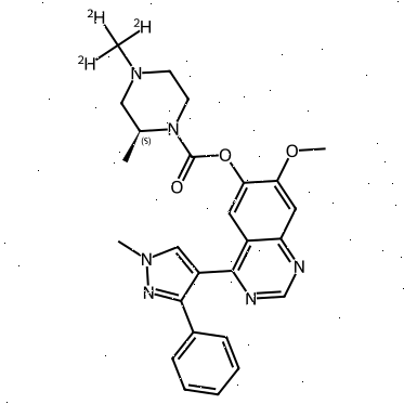 [2H]C([2H])([2H])N1CCN(C(=O)Oc2cc3c(-c4cn(C)nc4-c4ccccc4)ncnc3cc2OC)[C@@H](C)C1